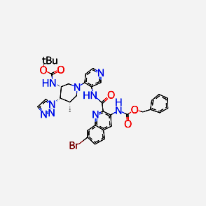 C[C@H]1CN(c2ccncc2NC(=O)c2nc3cc(Br)ccc3cc2NC(=O)OCc2ccccc2)C[C@@H](NC(=O)OC(C)(C)C)[C@H]1n1ccnn1